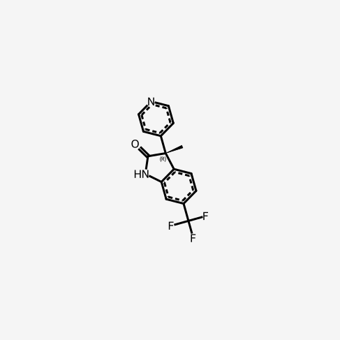 C[C@]1(c2ccncc2)C(=O)Nc2cc(C(F)(F)F)ccc21